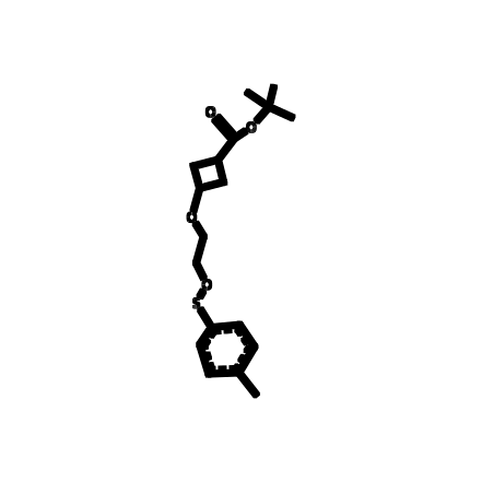 Cc1ccc(SOCCOC2CC(C(=O)OC(C)(C)C)C2)cc1